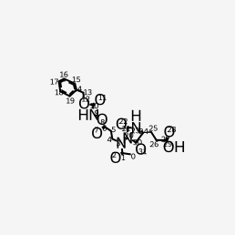 CC(=O)N(CCC(=O)ONC(=O)OCc1ccccc1)N1C(=O)N[C@@H](CCC(=O)O)C1=O